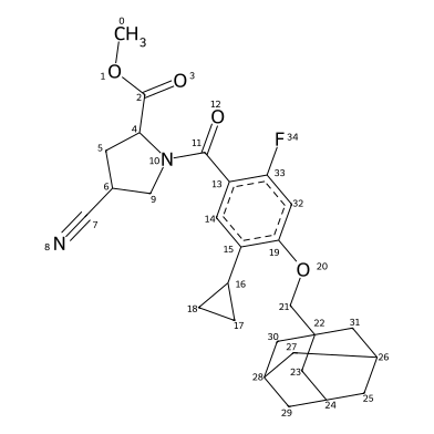 COC(=O)C1CC(C#N)CN1C(=O)c1cc(C2CC2)c(OCC23CC4CC(CC(C4)C2)C3)cc1F